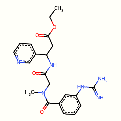 CCOC(=O)CC(NC(=O)CN(C)C(=O)c1cccc(NC(=N)N)c1)c1cccnc1